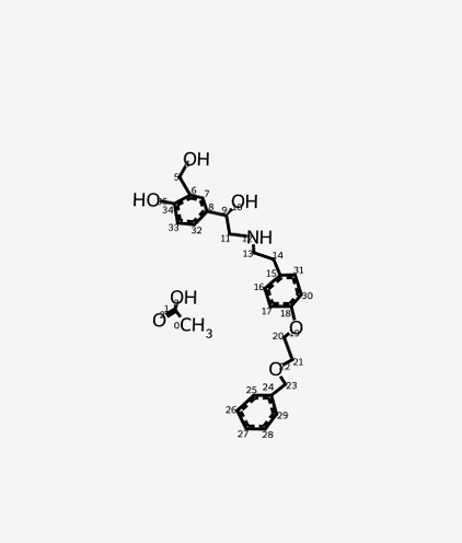 CC(=O)O.OCc1cc([C@@H](O)CNCCc2ccc(OCCOCc3ccccc3)cc2)ccc1O